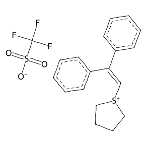 C(=C(c1ccccc1)c1ccccc1)[S+]1CCCC1.O=S(=O)([O-])C(F)(F)F